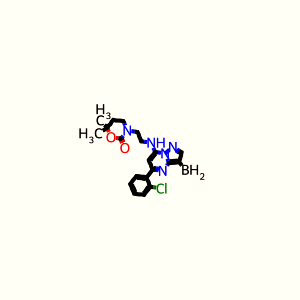 Bc1cnn2c(NCCN3CCC(C)(C)OC3=O)cc(-c3ccccc3Cl)nc12